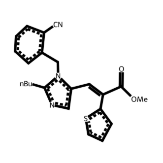 CCCCc1ncc(C=C(C(=O)OC)c2cccs2)n1Cc1ccccc1C#N